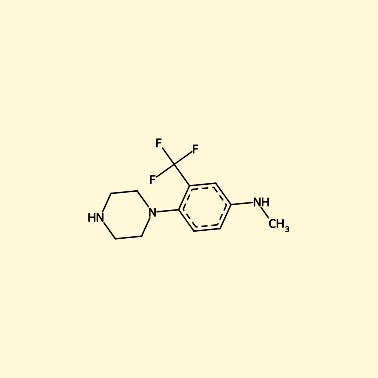 CNc1ccc(N2CCNCC2)c(C(F)(F)F)c1